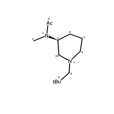 CC(=O)N(C)[C@H]1CCCN(CC(C)(C)C)C1